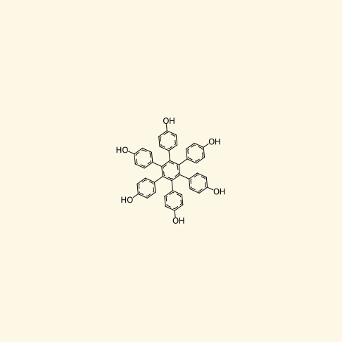 Oc1ccc(-c2c(-c3ccc(O)cc3)c(-c3ccc(O)cc3)c(-c3ccc(O)cc3)c(-c3ccc(O)cc3)c2-c2ccc(O)cc2)cc1